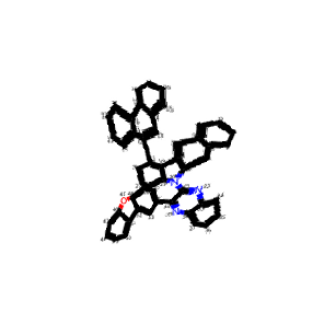 c1ccc2cc3c(cc2c1)c1c(-c2cc4ccccc4c4ccccc24)cccc1n3-c1nc2ccccc2nc1-c1ccc2oc3ccccc3c2c1